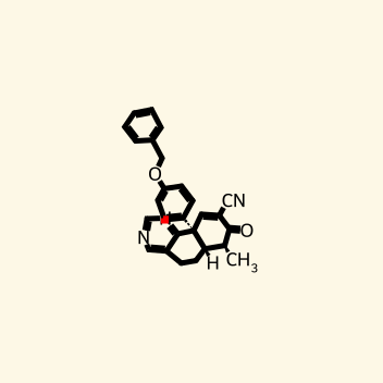 C[C@@H]1C(=O)C(C#N)=C[C@]2(c3ccc(OCc4ccccc4)cc3)c3ncncc3CC[C@@H]12